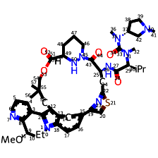 CCn1c(-c2cccnc2[C@H](C)OC)c2c3cc(ccc31)-c1csc(n1)C[C@H](NC(=O)[C@H](C(C)C)N(C)C(=O)N(C)[C@@H]1CCN(C)C1)C(=O)N1CCC[C@H](N1)C(=O)OCC(C)(C)C2